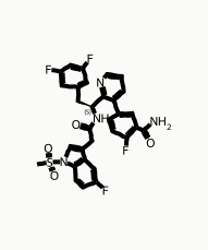 CS(=O)(=O)n1cc(CC(=O)N[C@@H](Cc2cc(F)cc(F)c2)c2ncccc2-c2ccc(F)c(C(N)=O)c2)c2cc(F)ccc21